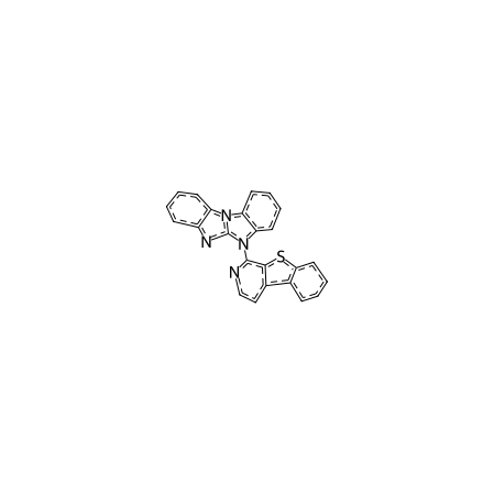 c1ccc2c(c1)nc1n(-c3nccc4c3sc3ccccc34)c3ccccc3n21